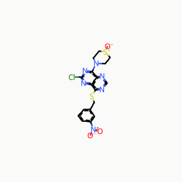 O=[N+]([O-])c1cccc(CSc2ncnc3c(N4CC[S+]([O-])CC4)nc(Cl)nc23)c1